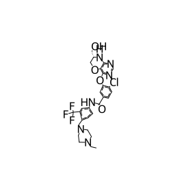 CCN1CCN(Cc2ccc(NC(=O)c3ccc(Cl)c(Oc4ncnc5c4OC[C@H](CO)N5)c3)cc2C(F)(F)F)CC1